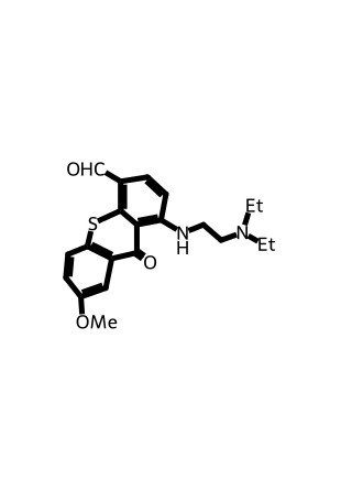 CCN(CC)CCNc1ccc(C=O)c2sc3ccc(OC)cc3c(=O)c12